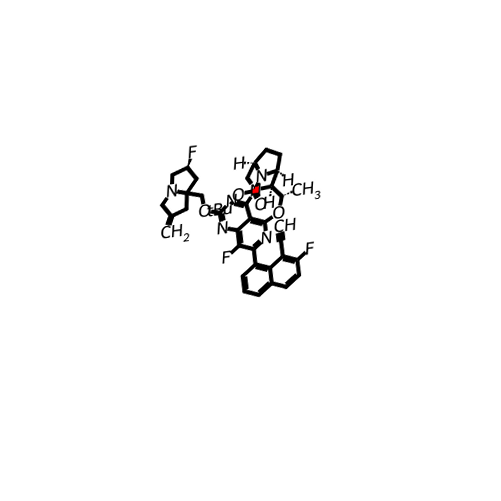 C#Cc1c(F)ccc2cccc(-c3nc4c5c(nc(OCC67CC(=C)CN6C[C@@H](F)C7)nc5c3F)N3C[C@H]5CC[C@@H]([C@H]3[C@H](C)O4)N5C(=O)OC(C)(C)C)c12